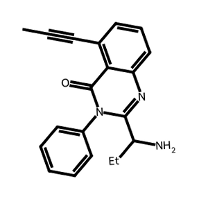 CC#Cc1cccc2nc(C(N)CC)n(-c3ccccc3)c(=O)c12